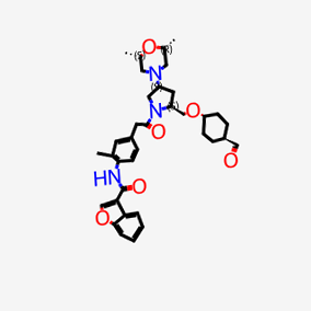 Cc1cc(CC(=O)N2C[C@@H](N3C[C@@H](C)O[C@@H](C)C3)C[C@H]2CO[C@H]2CC[C@H](C=O)CC2)ccc1NC(=O)c1coc2ccccc12